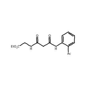 CCOC(=O)CNC(=O)CC(=O)Nc1c[c]ccc1C(C)=O